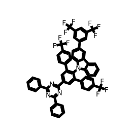 FC(F)(F)c1ccc(-c2cc(-c3nc(-c4ccccc4)nc(-c4ccccc4)n3)cc(-c3ccc(C(F)(F)F)cc3)c2-n2c3ccccc3c3cc(-c4cc(C(F)(F)F)cc(C(F)(F)F)c4)ccc32)cc1